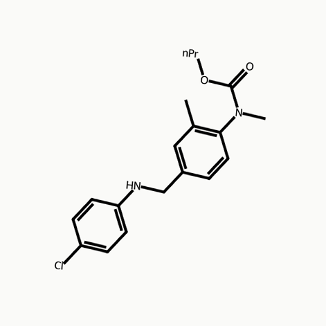 CCCOC(=O)N(C)c1ccc(CNc2ccc(Cl)cc2)cc1C